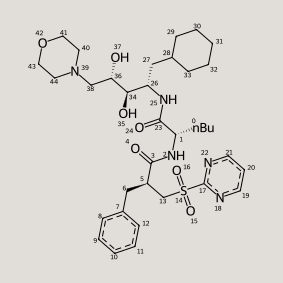 CCCC[C@H](NC(=O)[C@H](Cc1ccccc1)CS(=O)(=O)c1ncccn1)C(=O)N[C@@H](CC1CCCCC1)[C@@H](O)[C@@H](O)CN1CCOCC1